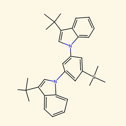 CC(C)(C)c1cn(-c2cc(-n3cc(C(C)(C)C)c4ccccc43)cc([Si](C)(C)C)c2)c2ccccc12